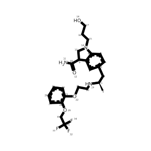 C[C@H](Cc1c[c]c2c(c1)C(C(N)=O)CN2CCCO)NCCOc1ccccc1OCC(F)(F)F